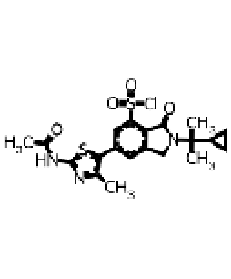 CC(=O)Nc1nc(C)c(-c2cc3c(c(S(=O)(=O)Cl)c2)C(=O)N(C(C)(C)C2CC2)C3)s1